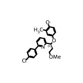 COCC[C@H](Oc1ccc([O])c(C)c1)c1cccc(-c2ccc(Cl)cc2)n1